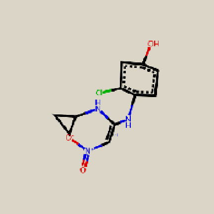 O=[N+]([O-])/C=C(/Nc1ccc(O)cc1Cl)NC1CC1